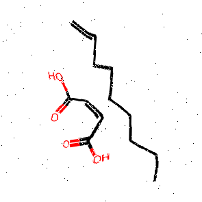 C=CCCCCCCC.O=C(O)/C=C\C(=O)O